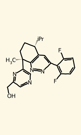 CC(C)[C@H]1CC[C@](C)(c2cncc(CO)n2)c2nnc(-c3c(F)cccc3F)cc21